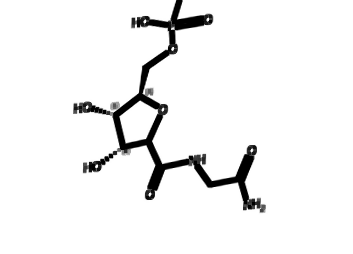 NC(=O)CNC(=O)C1O[C@H](COP(=O)(O)O)[C@@H](O)[C@H]1O